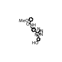 COc1ccccc1C(=O)NCc1ccc(-c2nn([C@@H]3C=C[C@@H](O)C3)c3ncnc(N)c23)cc1